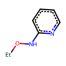 CCONc1ccccn1